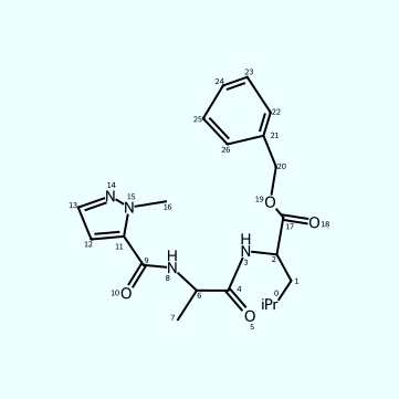 CC(C)CC(NC(=O)C(C)NC(=O)c1ccnn1C)C(=O)OCc1ccccc1